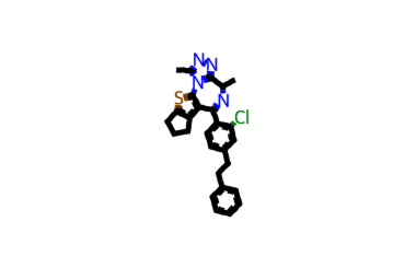 Cc1nnc2n1-c1sc3c(c1C(c1ccc(CCc4ccccc4)cc1Cl)=NC2C)CCC3